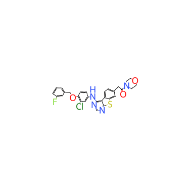 O=C(Cc1ccc2c(c1)sc1ncnc(Nc3ccc(OCc4cccc(F)c4)c(Cl)c3)c12)N1CCOCC1